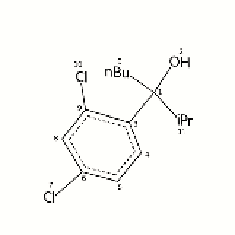 CCCCC(O)(c1ccc(Cl)cc1Cl)C(C)C